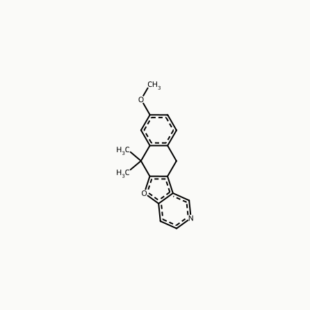 COc1ccc2c(c1)C(C)(C)c1oc3ccncc3c1C2